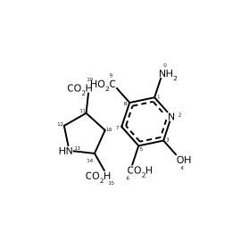 Nc1nc(O)c(C(=O)O)cc1C(=O)O.O=C(O)C1CNC(C(=O)O)C1